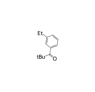 CCc1cccc(C(=O)C(C)(C)C)c1